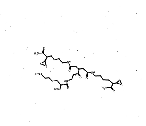 CC(=O)NCCCCC(NC(C)=O)C(=O)NCCC(=O)N(CC(=O)NCCCCC(C(N)=O)C1SS1)CC(=O)NCCCCC(C(N)=O)C1SS1